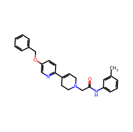 Cc1cccc(NC(=O)CN2CC=C(c3ccc(OCc4ccccc4)cn3)CC2)c1